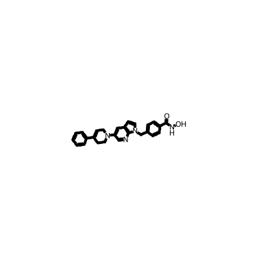 O=C(NO)c1ccc(Cn2ccc3cc(N4CC=C(c5ccccc5)CC4)cnc32)cc1